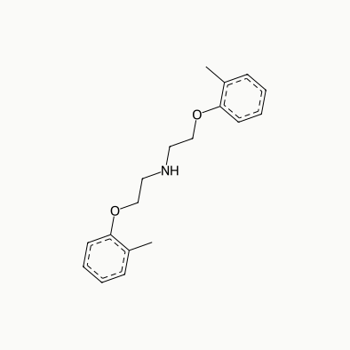 Cc1ccccc1OCCNCCOc1ccccc1C